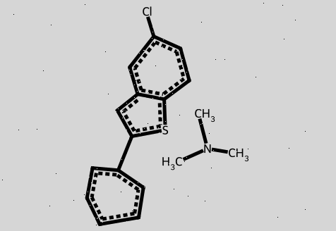 CN(C)C.Clc1ccc2sc(-c3ccccc3)cc2c1